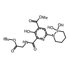 COC(=O)c1cc(N2CCCCS2(O)O)nc(C(=O)NCC(=O)OC(C)(C)C)c1O